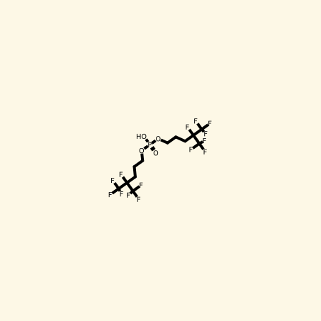 O=P(O)(OCCCC(F)(C(F)(F)F)C(F)(F)F)OCCCC(F)(C(F)(F)F)C(F)(F)F